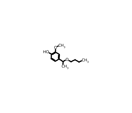 CCCCOC(C)c1ccc(O)c(OC)c1